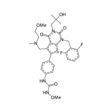 COCCN(C)Cc1c(-c2ccc(NC(=O)NOC)cc2)sc2c1c(=O)n(CC(C)(C)O)c(=O)n2Cc1c(F)cccc1F